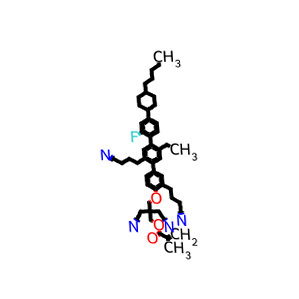 C=C(C)C(=O)OCC(CC#N)(CC#N)COc1ccc(-c2cc(CC)c(-c3ccc(C4CCC(CCCCC)CC4)cc3F)cc2CCCC#N)cc1CCCC#N